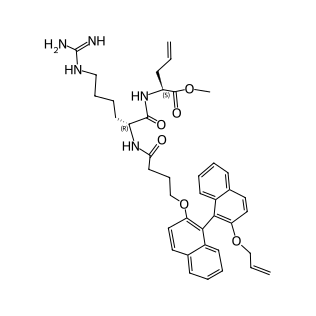 C=CCOc1ccc2ccccc2c1-c1c(OCCCC(=O)N[C@H](CCCCNC(=N)N)C(=O)N[C@@H](CC=C)C(=O)OC)ccc2ccccc12